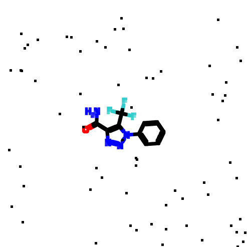 NC(=O)c1nnn(-c2ccccc2)c1C(F)(F)F